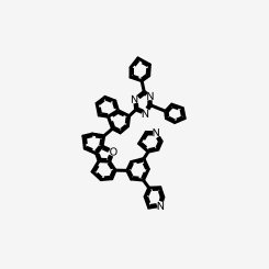 c1ccc(-c2nc(-c3ccccc3)nc(-c3ccc(-c4cccc5c4oc4c(-c6cc(-c7ccncc7)cc(-c7ccncc7)c6)cccc45)c4ccccc34)n2)cc1